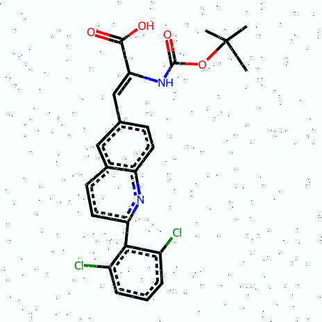 CC(C)(C)OC(=O)NC(=Cc1ccc2nc(-c3c(Cl)cccc3Cl)ccc2c1)C(=O)O